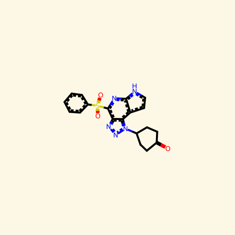 O=C1CCC(n2nnc3c(S(=O)(=O)c4ccccc4)nc4[nH]ccc4c32)CC1